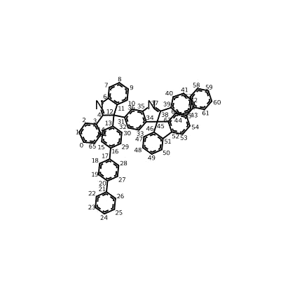 c1ccc(C2=Nc3ccccc3C2(c2ccc(-c3ccc(-c4ccccc4)cc3)cc2)c2ccc3c(c2)N=C(c2ccccc2)C32c3ccccc3-c3ccc(-c4ccccc4)cc32)cc1